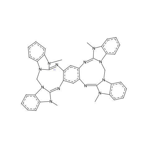 CN1C2=Nc3cc4c(cc3N=C3N(C)c5ccccc5N3CN2c2ccccc21)/N=C1\N(C)c2ccccc2N1CN1C(=N4)N(C)c2ccccc21